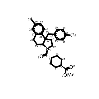 COC(=O)[C@H]1CC[C@H](C(=O)N2CCC3(Cc4ccc(Cl)cc4)c4ccc(I)cc4CCC23)CC1